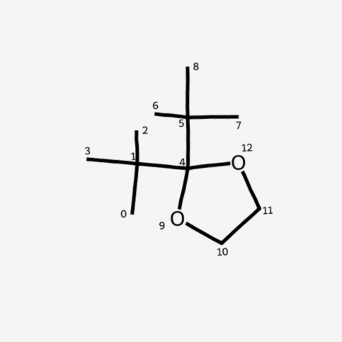 CC(C)(C)C1(C(C)(C)C)OCCO1